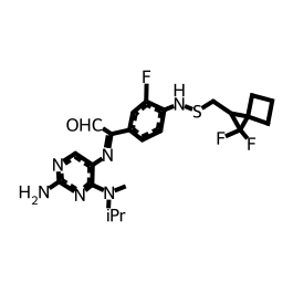 CC(C)N(C)c1nc(N)ncc1/N=C(\C=O)c1ccc(NSCC2C(F)(F)C23CCC3)c(F)c1